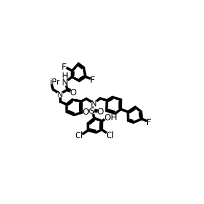 CC(C)CN(Cc1cccc(CN(Cc2ccc(-c3ccc(F)cc3)cc2)S(=O)(=O)c2cc(Cl)cc(Cl)c2O)c1)C(=O)Nc1cc(F)ccc1F